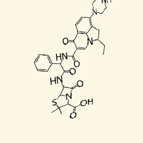 CCC1Cc2c(N3CCNCC3)ccc3c(=O)c(C(=O)NC(C(=O)NC4C(=O)N5C4SC(C)(C)C5C(=O)O)c4ccccc4)cn1c23